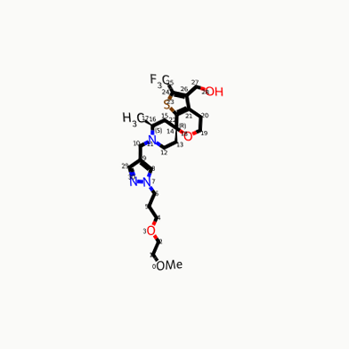 COCCOCCCn1cc(CN2CC[C@]3(C[C@@H]2C)OCCc2c3sc(C(F)(F)F)c2CO)cn1